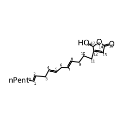 CCCCCC=CCC=CCC=CCCCC1=CC(=O)OC1O